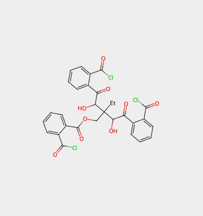 CCC(COC(=O)c1ccccc1C(=O)Cl)(C(O)C(=O)c1ccccc1C(=O)Cl)C(O)C(=O)c1ccccc1C(=O)Cl